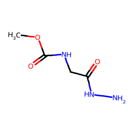 COC(=O)NCC(=O)NN